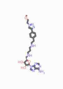 COCCn1cc(-c2ccc(CCNCCCNC[C@H]3O[C@@H](n4cnc5c(N)ncnc54)[C@H](O)[C@@H]3O)cc2)nn1